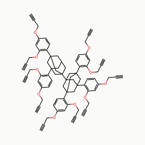 C#CCOc1ccc(C23CC4CC(c5ccc(OCC#C)cc5OCC#C)(C2)CC(C25CC6(c7ccc(OCC#C)cc7OCC#C)CC(c7ccc(OCC#C)cc7OCC#C)(CC(c7ccc(OCC#C)cc7OCC#C)(C6)C2)C5)(C4)C3)c(OCC#C)c1